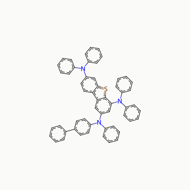 c1ccc(-c2ccc(N(c3ccccc3)c3cc(N(c4ccccc4)c4ccccc4)c4sc5cc(N(c6ccccc6)c6ccccc6)ccc5c4c3)cc2)cc1